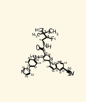 CC(C)(O)C(F)CNC(=O)c1cnc(-n2ccc3cc(C#N)cnc32)cc1Nc1ccc(-n2ccnc2)cc1